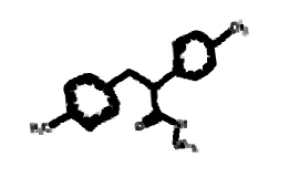 Cc1ccc(CC(C(=O)NN)c2ccc(C)cc2)cc1